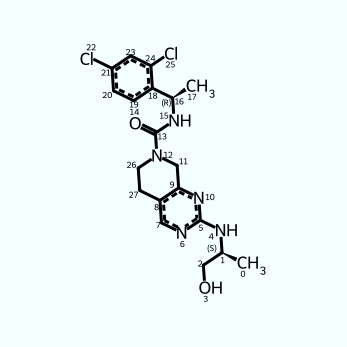 C[C@@H](CO)Nc1ncc2c(n1)CN(C(=O)N[C@H](C)c1ccc(Cl)cc1Cl)CC2